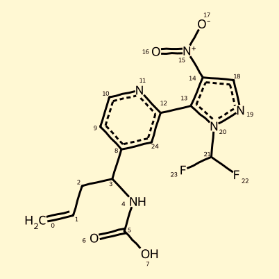 C=CCC(NC(=O)O)c1ccnc(-c2c([N+](=O)[O-])cnn2C(F)F)c1